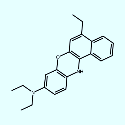 CCc1cc2c(c3ccccc13)Nc1ccc(N(CC)CC)cc1O2